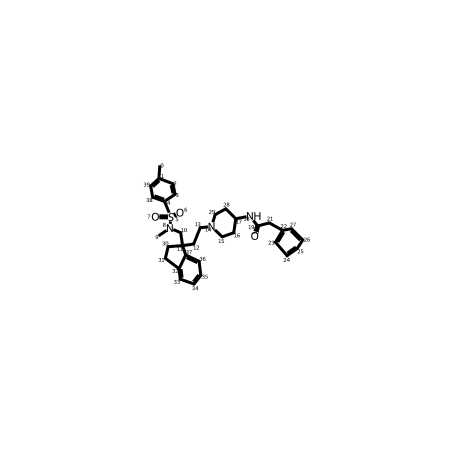 Cc1ccc(S(=O)(=O)N(C)CC2(CCN3CCC(NC(=O)Cc4ccccc4)CC3)CCc3ccccc32)cc1